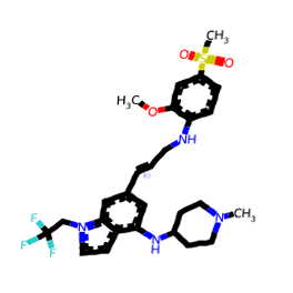 COc1cc(S(C)(=O)=O)ccc1NC/C=C/c1cc(NC2CCN(C)CC2)c2ccn(CC(F)(F)F)c2c1